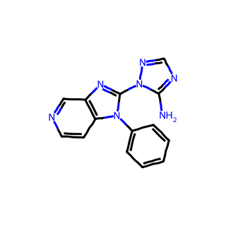 Nc1ncnn1-c1nc2cnccc2n1-c1ccccc1